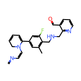 C=N/C=C\N1CC=CC=C1c1cc(C)c(CNCc2ncccc2C=O)c(F)c1